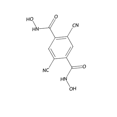 N#Cc1cc(C(=O)NO)c(C#N)cc1C(=O)NO